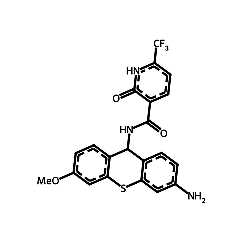 COc1ccc2c(c1)Sc1cc(N)ccc1C2NC(=O)c1ccc(C(F)(F)F)[nH]c1=O